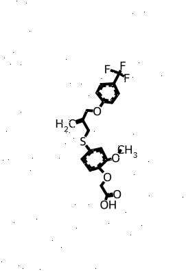 C=C(COc1ccc(C(F)(F)F)cc1)CSc1ccc(OCC(=O)O)c(OC)c1